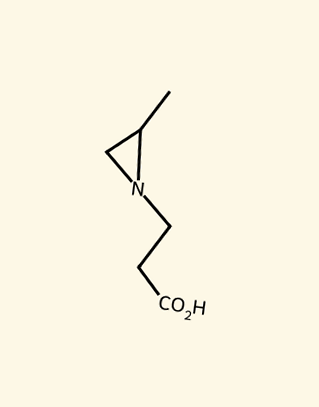 CC1CN1CCC(=O)O